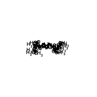 CC(C)[C@](CC(=O)c1ccc2c(c1)Cc1cc(C(=O)C[C@@](NC(=O)OC(C)(C)C)(C(=O)O)C(C)C)ccc1-2)(NC(=O)OC(C)(C)C)C(=O)O